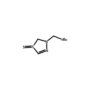 CCCCCN1CS(=S)C=N1